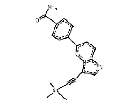 C[Si](C)(C)C#Cc1cnc2ccc(-c3ccc(C(N)=O)cc3)nn12